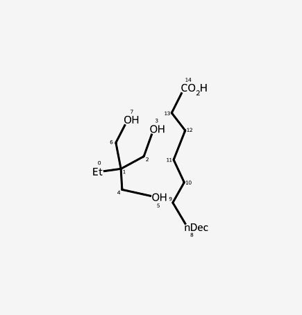 CCC(CO)(CO)CO.CCCCCCCCCCCCCCCC(=O)O